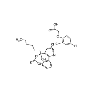 CCCCCCC(C)(OC(O)=S)c1cc(Cl)nnc1-c1ccccc1.O=C(O)COc1ccc(Cl)cc1Cl